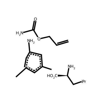 C=CCOC(N)=O.CC(C)C[C@H](N)C(=O)O.Cc1cc(C)cc(N)c1